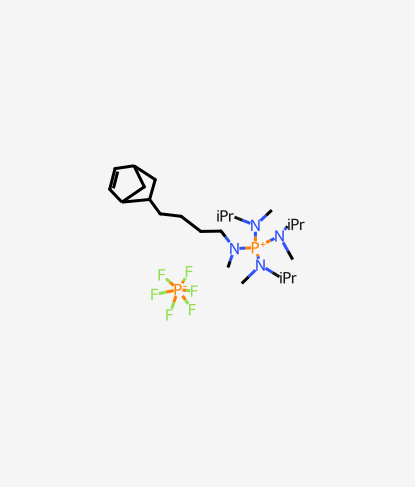 CC(C)N(C)[P+](N(C)CCCCC1CC2C=CC1C2)(N(C)C(C)C)N(C)C(C)C.F[P-](F)(F)(F)(F)F